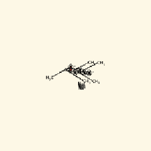 CCCCCCCCCCCCN(CCOS(=O)(=O)[O-])CC(CN(CCCCCCCCCCCC)CC(CN(CCCCCCCCCCCC)CC(CN(CCCCCCCCCCCC)CC(CN(CCCCCCCCCCCC)CCOS(=O)(=O)[O-])OS(=O)(=O)[O-])OS(=O)(=O)[O-])OS(=O)(=O)[O-])OS(=O)(=O)[O-].[Na+].[Na+].[Na+].[Na+].[Na+].[Na+]